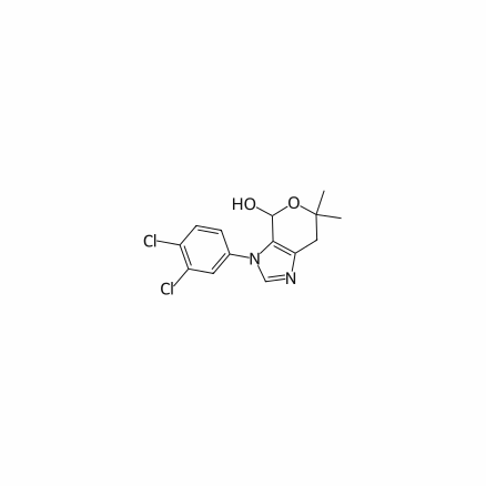 CC1(C)Cc2ncn(-c3ccc(Cl)c(Cl)c3)c2C(O)O1